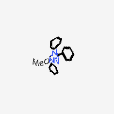 CO[N+]1(c2ccccc2)CN(c2ccccc2)C(c2ccccc2)=N1